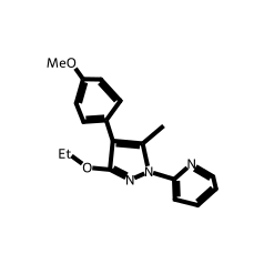 CCOc1nn(-c2ccccn2)c(C)c1-c1ccc(OC)cc1